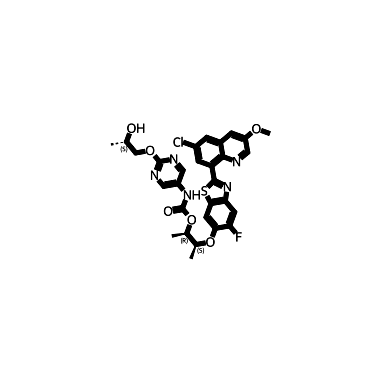 COc1cnc2c(-c3nc4cc(F)c(O[C@@H](C)[C@@H](C)OC(=O)Nc5cnc(OC[C@H](C)O)nc5)cc4s3)cc(Cl)cc2c1